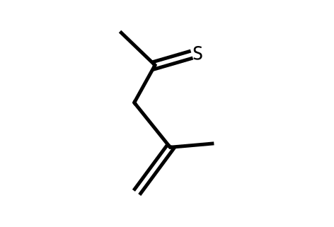 C=C(C)CC(C)=S